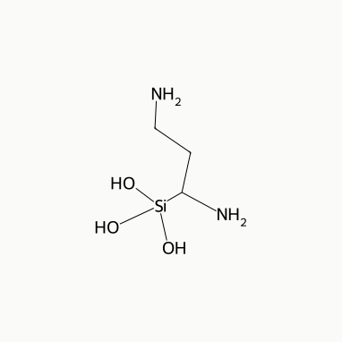 NCCC(N)[Si](O)(O)O